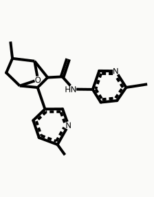 C=C(Nc1ccc(C)nc1)C1C2OC(CC2C)C1c1ccc(C)nc1